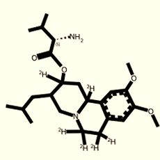 [2H]C1(OC(=O)[C@@H](N)C(C)C)CC2([2H])c3cc(OC)c(OC)cc3C([2H])([2H])C([2H])([2H])N2CC1CC(C)C